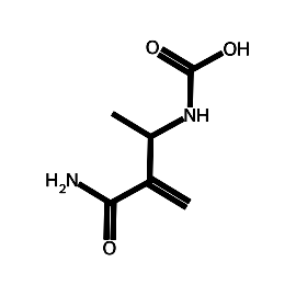 C=C(C(N)=O)C(C)NC(=O)O